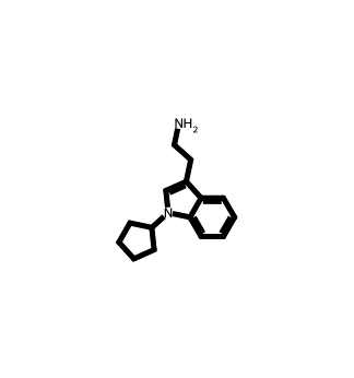 NCCc1cn(C2CCCC2)c2ccccc12